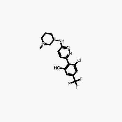 CN1CCC[C@@H](Nc2ccc(-c3c(O)cc(C(F)(F)F)cc3Cl)nn2)C1